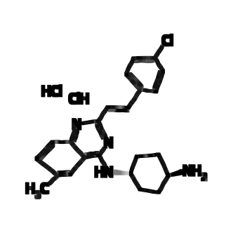 Cc1ccc2nc(C=Cc3ccc(Cl)cc3)nc(N[C@H]3CC[C@H](N)CC3)c2c1.Cl.Cl